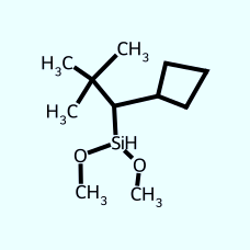 CO[SiH](OC)C(C1CCC1)C(C)(C)C